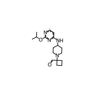 CC(C)Oc1n[c]cc(NC2CCN(C3(C=O)CCC3)CC2)n1